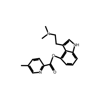 Cc1ccc(C(=O)Oc2cccc3[nH]cc(CCN(C)C)c23)nc1